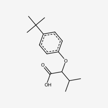 CC(C)C(Oc1ccc(C(C)(C)C)cc1)C(=O)O